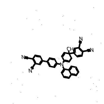 CC1(c2ccc(C#N)c(C#N)c2)C=CC(N(c2ccc(-c3ccc(C#N)c(C#N)c3)cc2)c2cccc3ccccc23)=CC1